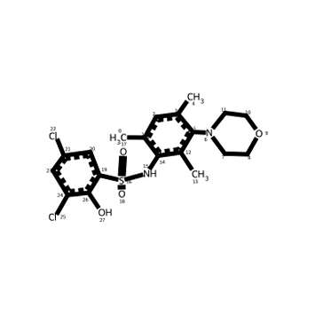 Cc1cc(C)c(N2CCOCC2)c(C)c1NS(=O)(=O)c1cc(Cl)cc(Cl)c1O